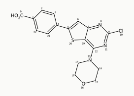 O=C(O)c1ccc(-c2cc3nc(Cl)nc(N4CCOCC4)c3s2)cc1